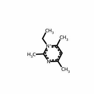 CC[n+]1c(C)cc(C)nc1C